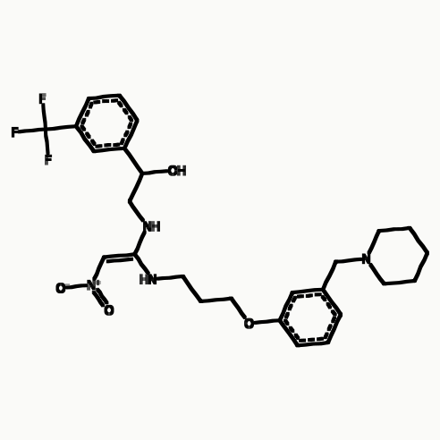 O=[N+]([O-])/C=C(\NCCCOc1cccc(CN2CCCCC2)c1)NCC(O)c1cccc(C(F)(F)F)c1